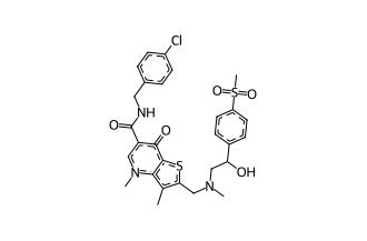 Cc1c(CN(C)CC(O)c2ccc(S(C)(=O)=O)cc2)sc2c(=O)c(C(=O)NCc3ccc(Cl)cc3)cn(C)c12